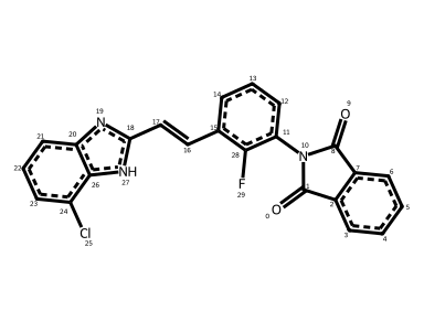 O=C1c2ccccc2C(=O)N1c1cccc(C=Cc2nc3cccc(Cl)c3[nH]2)c1F